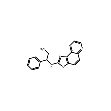 NCC(Nc1nc2c(ccc3nccnc32)s1)c1ccccc1